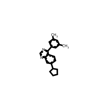 Cc1cc(C)cc(-c2ncnc3cc(C4CCCC4)ccc23)c1